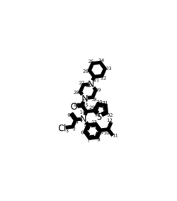 C=C(CCl)N(c1cccc(C(C)C)c1)C(C(=O)N1CCN(C2CCCCC2)CC1)c1cccs1